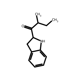 CCC(C)C(=O)C1Cc2ccccc2N1